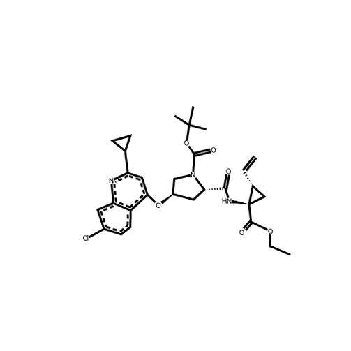 C=C[C@@H]1C[C@]1(NC(=O)[C@@H]1C[C@@H](Oc2cc(C3CC3)nc3cc(Cl)ccc23)CN1C(=O)OC(C)(C)C)C(=O)OCC